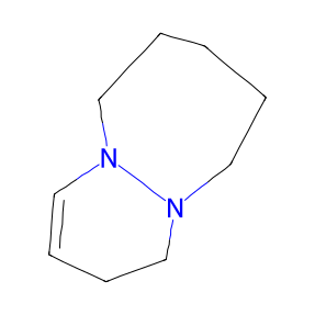 C1=CN2CCCCCN2CC1